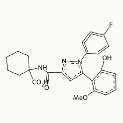 COc1cccc(O)c1-c1cc(C(=O)NC2(C(=O)O)CCCCC2)nn1C1=C=C=C(F)C=C1